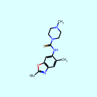 Cc1cc2nc(C(C)(C)C)oc2cc1NC(=S)N1CCN(C)CC1